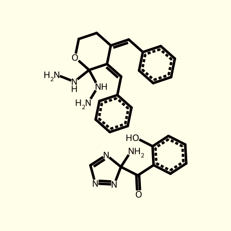 NC1(C(=O)c2ccccc2O)N=CN=N1.NNC1(NN)OCCC(=Cc2ccccc2)C1=Cc1ccccc1